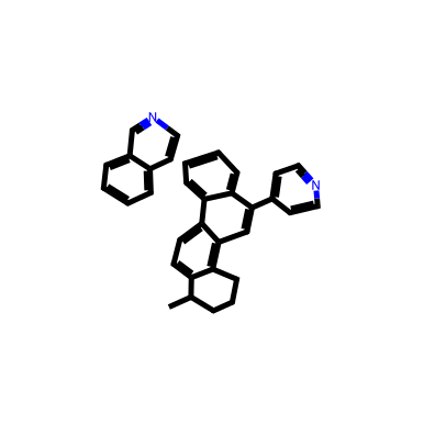 CC1CCCc2c1ccc1c2cc(-c2ccncc2)c2ccccc21.c1ccc2cnccc2c1